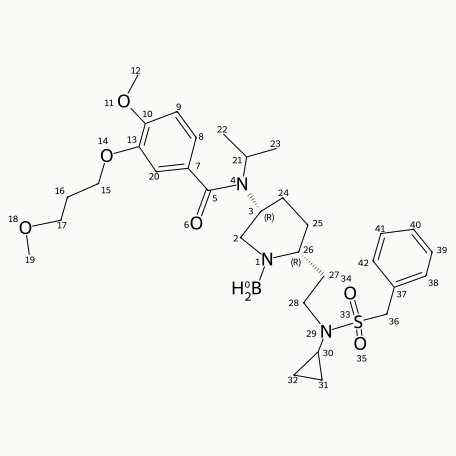 BN1C[C@H](N(C(=O)c2ccc(OC)c(OCCCOC)c2)C(C)C)CC[C@@H]1CCN(C1CC1)S(=O)(=O)Cc1ccccc1